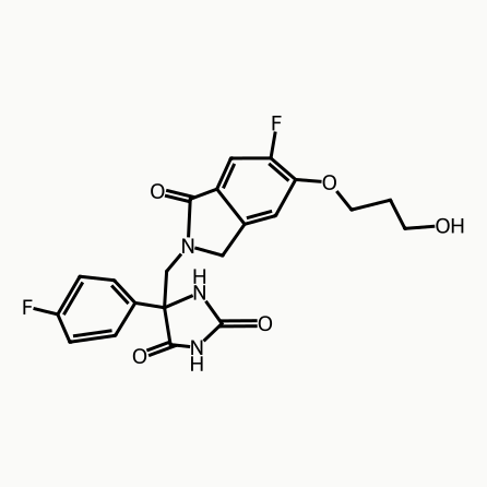 O=C1NC(=O)C(CN2Cc3cc(OCCCO)c(F)cc3C2=O)(c2ccc(F)cc2)N1